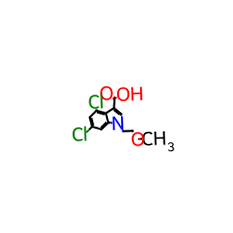 COCCn1cc(C(=O)O)c2c(Cl)cc(Cl)cc21